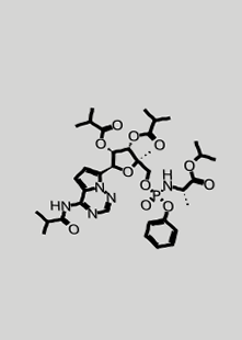 CC(C)OC(=O)[C@H](C)N[P@](=O)(OC[C@@]1(C)O[C@@H](c2ccc3c(NC(=O)C(C)C)ncnn23)[C@H](OC(=O)C(C)C)[C@@H]1OC(=O)C(C)C)Oc1ccccc1